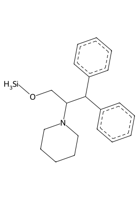 [SiH3]OCC(C(c1ccccc1)c1ccccc1)N1CCCCC1